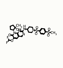 C[C@@]1(O)CCC[C@H]1n1c(=O)c(OC(F)F)cc2cnc(NC3CCN(S(=O)(=O)c4ccc(S(C)(=O)=O)cc4)CC3)nc21